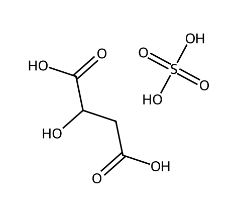 O=C(O)CC(O)C(=O)O.O=S(=O)(O)O